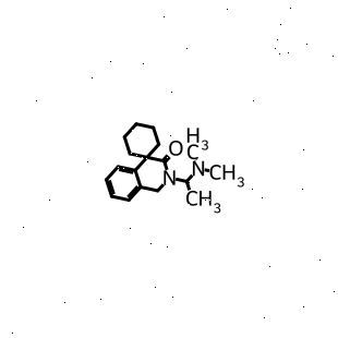 CC(N(C)C)N1Cc2ccccc2C2(CCCCC2)C1=O